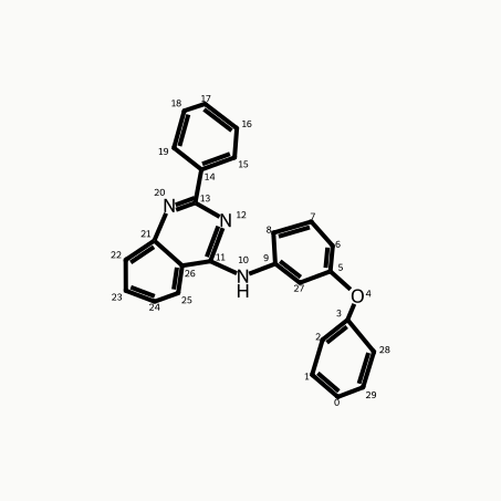 c1ccc(Oc2cccc(Nc3nc(-c4ccccc4)nc4ccccc34)c2)cc1